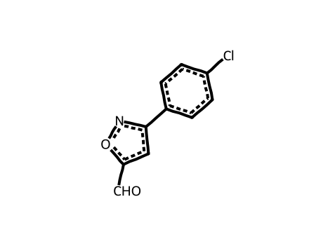 O=Cc1cc(-c2ccc(Cl)cc2)no1